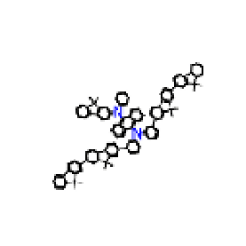 CC1(C)c2ccccc2-c2ccc(-c3ccc4c(c3)C(C)(C)c3cc(-c5cccc(N(c6cccc(-c7ccc8c(c7)C(C)(C)c7cc(-c9ccc%10c(c9)C(C)(C)c9ccccc9-%10)ccc7-8)c6)c6c7ccccc7c(N(c7ccccc7)c7ccc8c(c7)C(C)(C)c7ccccc7-8)c7ccccc67)c5)ccc3-4)cc21